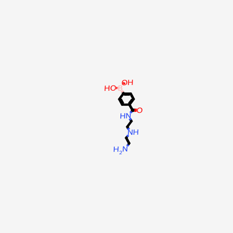 NCCNCCNC(=O)c1ccc(B(O)O)cc1